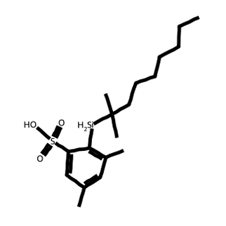 CCCCCCCC(C)(C)[SiH2]c1c(C)cc(C)cc1S(=O)(=O)O